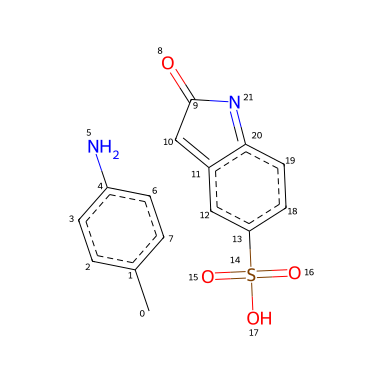 Cc1ccc(N)cc1.O=C1C=c2cc(S(=O)(=O)O)ccc2=N1